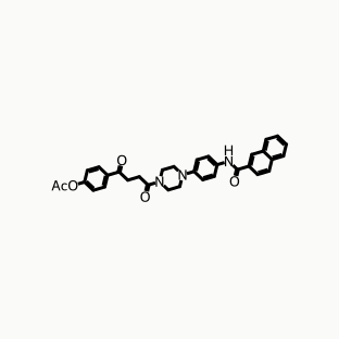 CC(=O)Oc1ccc(C(=O)CCC(=O)N2CCN(c3ccc(NC(=O)c4ccc5ccccc5c4)cc3)CC2)cc1